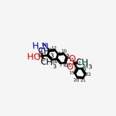 CC(C)(O)c1cc2cc3c(cc2cc1N)OC(C)(c1ccccc1F)O3